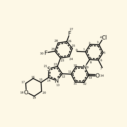 Cc1cc(Cl)cc(C)c1-n1cc(-c2nc(C3CCOCC3)sc2-c2ccc(F)cc2F)ccc1=O